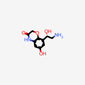 NC[C@@H](O)c1cc(O)cc2c1OCC(=O)N2